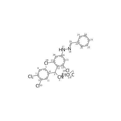 CCOC(C)=O.N#CC(c1ccc(Cl)c(Cl)c1)c1c(Cl)cc(N/N=C/c2ccccc2)cc1Cl